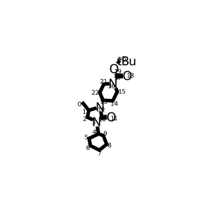 CC1CN(C2CCCCC2)C(=O)N1C1CCN(C(=O)OC(C)(C)C)CC1